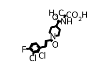 CC(NC(=O)C1CCN(C(=O)/C=C/c2ccc(F)c(Cl)c2Cl)CC1)C(=O)O